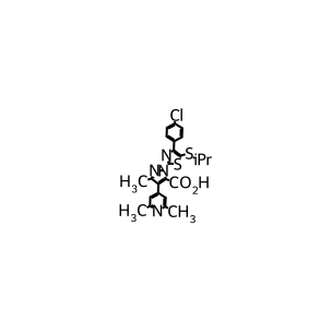 Cc1cc(-c2c(C)nn(-c3nc(-c4ccc(Cl)cc4)c(SC(C)C)s3)c2C(=O)O)cc(C)n1